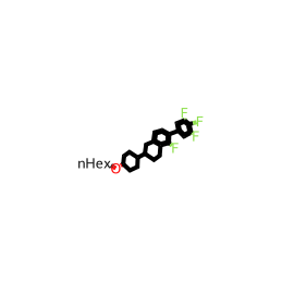 CCCCCCOC1CCC(C2CCc3c(ccc(-c4cc(F)c(F)c(F)c4)c3F)C2)CC1